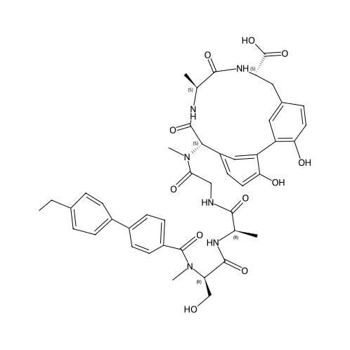 CCc1ccc(-c2ccc(C(=O)N(C)[C@H](CO)C(=O)N[C@H](C)C(=O)NCC(=O)N(C)[C@@H]3C(=O)N[C@@H](C)C(=O)N[C@H](C(=O)O)Cc4ccc(O)c(c4)-c4cc3ccc4O)cc2)cc1